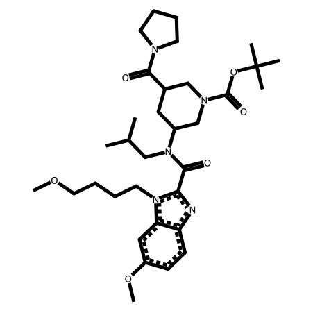 COCCCCn1c(C(=O)N(CC(C)C)C2CC(C(=O)N3CCCC3)CN(C(=O)OC(C)(C)C)C2)nc2ccc(OC)cc21